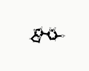 Clc1ccc(-c2nnc3n2CCC3)nn1